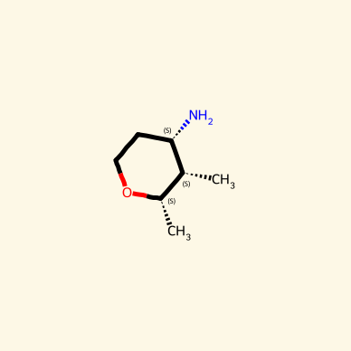 C[C@@H]1[C@H](C)OCC[C@@H]1N